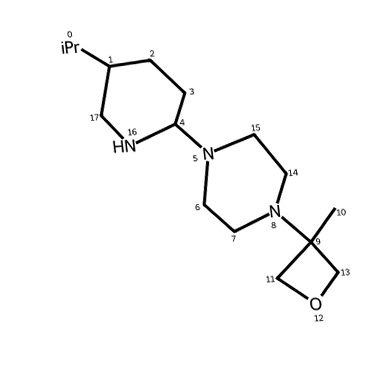 CC(C)C1CCC(N2CCN(C3(C)COC3)CC2)NC1